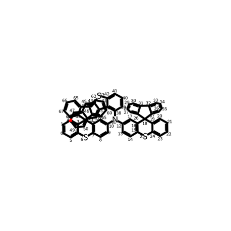 c1ccc2c(c1)Sc1ccc(N(c3ccc4c(c3)C3(c5ccccc5S4)c4ccccc4-c4ccccc43)c3cccc4sc5cc6ccccc6cc5c34)cc1C21c2ccccc2-c2ccccc21